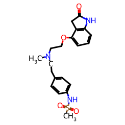 CN(CCOc1cccc2c1CC(=O)N2)CCc1ccc(NS(C)(=O)=O)cc1